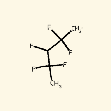 [CH2]C(F)(F)C(F)C(C)(F)F